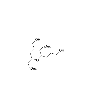 CCCCCCCCCCCC(CCCO)OC(CCCO)CCCCCCCCCCC